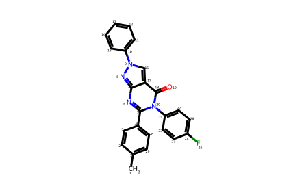 Cc1ccc(-c2nc3nn(-c4ccccc4)cc3c(=O)n2-c2ccc(F)cc2)cc1